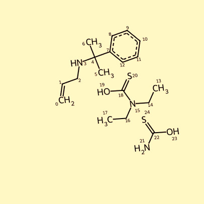 C=CCNC(C)(C)c1ccccc1.CCN(CC)C(O)=S.NC(O)=S